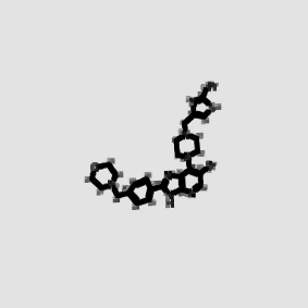 CC(C)c1nc(CN2CCN(c3c(Br)cnc4[nH]c(-c5ccc(CN6CCOCC6)cc5)nc34)CC2)cs1